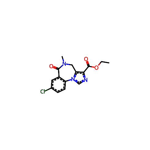 CCOC(=O)c1ncn2c1CN(C)C(=O)c1cc(Cl)ccc1-2